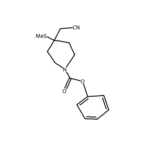 CSC1(CC#N)CCN(C(=O)Oc2ccccc2)CC1